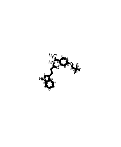 CC(NC(=O)CCc1c[nH]c2ccccc12)c1ccc(OCC(F)(F)F)nc1